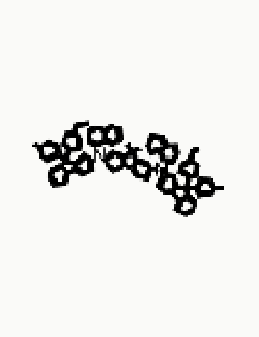 C=Cc1ccc(C2(c3ccc(C)cc3)c3ccccc3-c3ccc(N(c4ccc5c(c4)C(C)(C)c4cc(N(c6ccc7c(c6)C(c6ccc(C)cc6)(c6ccc(C=C)cc6)c6ccccc6-7)c6cccc7ccccc67)ccc4-5)c4cccc5ccccc45)cc32)cc1